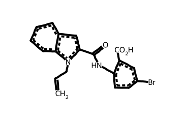 C=CCn1c(C(=O)Nc2ccc(Br)cc2C(=O)O)cc2ccccc21